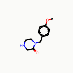 COc1ccc(CN2CCNCC2=O)cc1